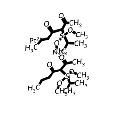 CCCC(=O)C(C(C)=O)[Si](OC)(OC)C(C)C.CCCC(=O)C(C(C)=O)[Si](OC)(OC)C(C)C.[Pt+2]